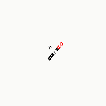 C=C=O.[Y]